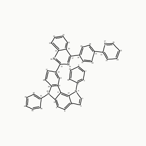 c1ccc(-n2ccc3ccc4c(c5cc(-c6nc(-c7ccc(-c8ccccn8)cc7)c7ccccc7n6)ccc5n4-c4ccccc4)c32)cc1